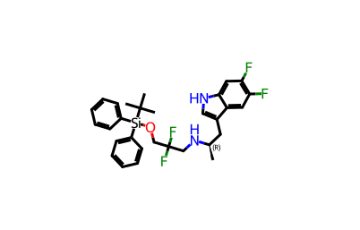 C[C@H](Cc1c[nH]c2cc(F)c(F)cc12)NCC(F)(F)CO[Si](c1ccccc1)(c1ccccc1)C(C)(C)C